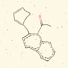 CC(=O)c1c(C2=CC=CC2)ccc2ccccc12